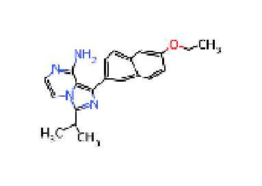 CCOc1ccc2cc(-c3nc(C(C)C)n4ccnc(N)c34)ccc2c1